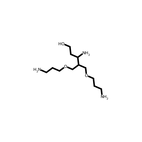 NCCCOCC(COCCCN)C(N)CCO